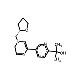 CC(C)(O)c1ccc(C2=CN(C[C@@H]3CCCO3)CC=N2)cn1